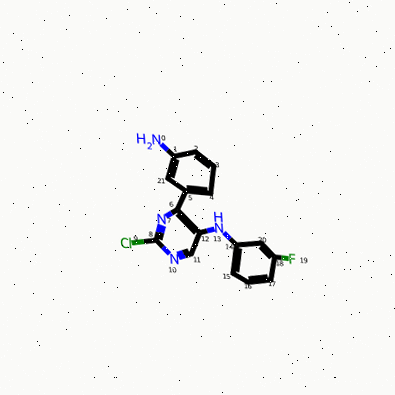 Nc1cccc(-c2nc(Cl)ncc2Nc2cccc(F)c2)c1